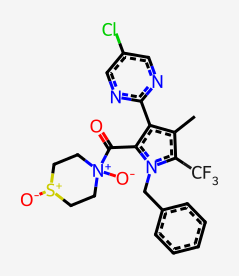 Cc1c(-c2ncc(Cl)cn2)c(C(=O)[N+]2([O-])CC[S+]([O-])CC2)n(Cc2ccccc2)c1C(F)(F)F